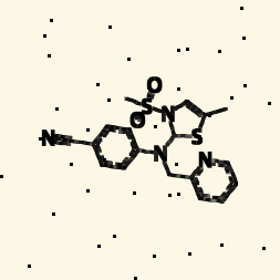 CC1=CN(S(C)(=O)=O)C(N(Cc2ccccn2)c2ccc(C#N)cc2)S1